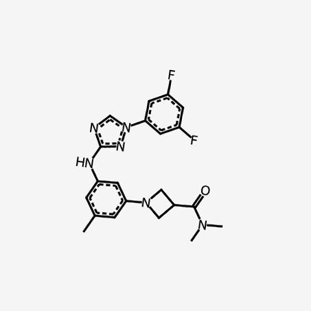 Cc1cc(Nc2ncn(-c3cc(F)cc(F)c3)n2)cc(N2CC(C(=O)N(C)C)C2)c1